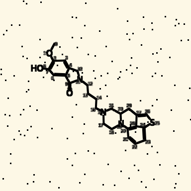 COc1cc2c(cc1O)C(=O)N(CCCCN1CCN3c4cccc5scc(c45)CC3C1)C2